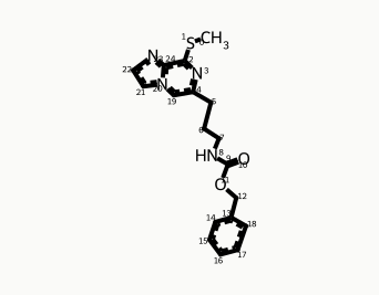 CSc1nc(CCCNC(=O)OCc2ccccc2)cn2ccnc12